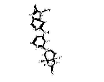 Cc1nc2cnc(Nc3ccnc(N4CC[C@@H]5OC(=O)N[C@@H]5C4)n3)cc2n1C(C)C